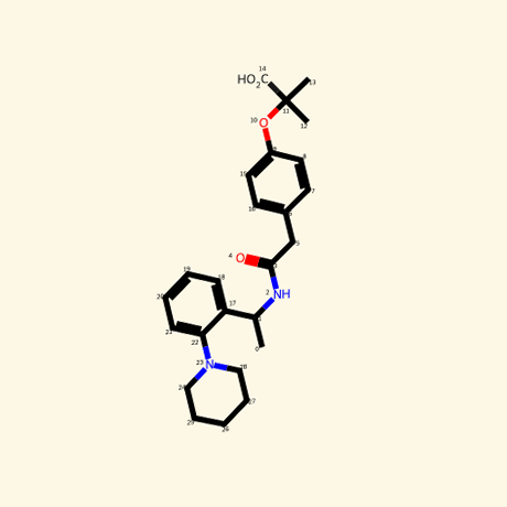 CC(NC(=O)Cc1ccc(OC(C)(C)C(=O)O)cc1)c1ccccc1N1CCCCC1